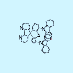 c1cnc2c(c1)C1(c3cccnc3-2)c2cccc(-n3c4ccccc4c4ccccc43)c2Sc2c(-n3c4ccccc4c4ccccc43)cccc21